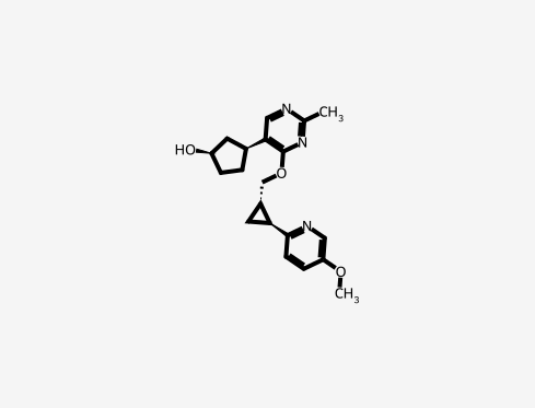 COc1ccc([C@H]2C[C@@H]2COc2nc(C)ncc2[C@H]2CC[C@@H](O)C2)nc1